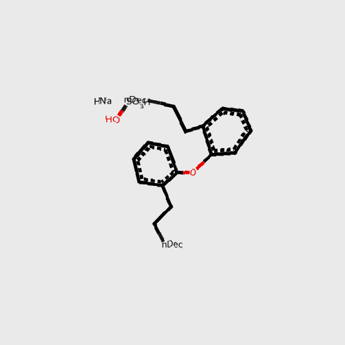 CCCCCCCCCCCCc1ccccc1Oc1ccccc1CCCCCCCCCCCC.O=S(=O)(O)O.[NaH]